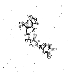 O=C(c1ccc(-c2c[nH]nn2)c(C(F)(F)F)c1)N1CCN(c2nc3nc(Cl)ccc3o2)CC1